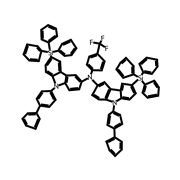 FC(F)(F)c1ccc(N(c2ccc3c(c2)c2cc([Si](c4ccccc4)(c4ccccc4)c4ccccc4)ccc2n3-c2ccc(-c3ccccc3)cc2)c2ccc3c(c2)c2cc([Si](c4ccccc4)(c4ccccc4)c4ccccc4)ccc2n3-c2ccc(-c3ccccc3)cc2)cc1